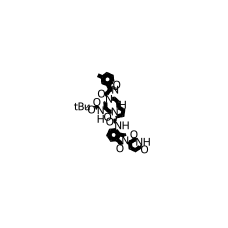 Cc1ccc2onc(C(=O)N3CC[C@H]4CC[C@@H](C(=O)Nc5cccc6c5CN(C5CCC(=O)NC5=O)C6=O)N4C(=O)[C@@H](NC(=O)OC(C)(C)C)C3)c2c1